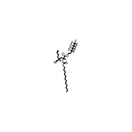 C=CCCC(C)(C#N)CC(C)(SC(=S)SCCCCCCCCCCCC)C(=O)OCCC(F)(F)C(F)(F)C(F)(F)C(F)(F)F